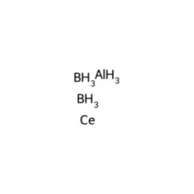 B.B.[AlH3].[Ce]